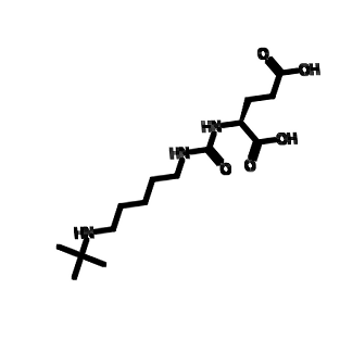 CC(C)(C)NCCCCCNC(=O)N[C@@H](CCC(=O)O)C(=O)O